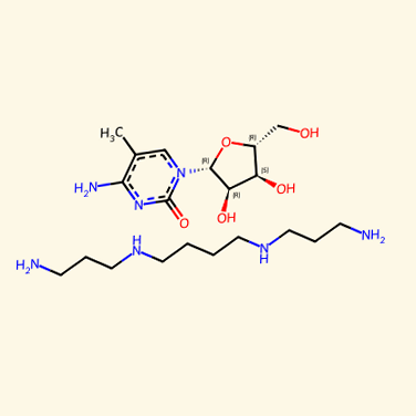 Cc1cn([C@@H]2O[C@H](CO)[C@@H](O)[C@H]2O)c(=O)nc1N.NCCCNCCCCNCCCN